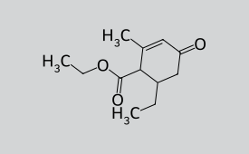 CCOC(=O)C1C(C)=CC(=O)CC1CC